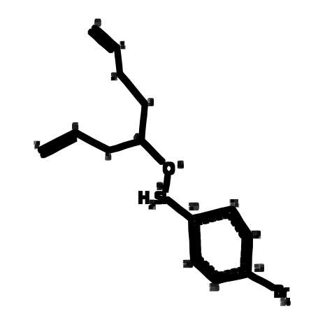 C=CCCC(CC=C)O[SiH2]c1ccc(Br)cc1